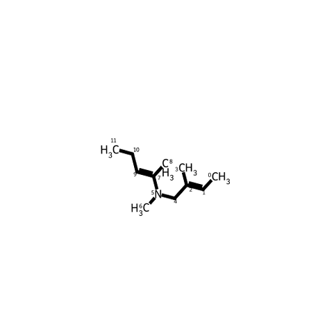 C/C=C(\C)CN(C)/C(C)=C/CC